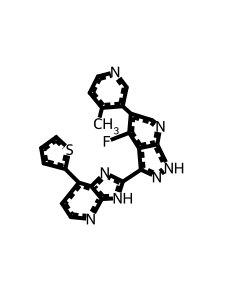 Cc1ccncc1-c1cnc2[nH]nc(-c3nc4c(-c5cccs5)ccnc4[nH]3)c2c1F